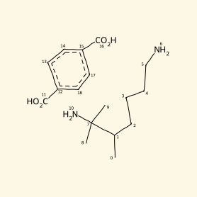 CC(CCCCN)C(C)(C)N.O=C(O)c1ccc(C(=O)O)cc1